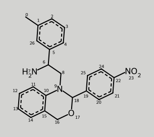 Cc1cccc(C(N)CN2c3ccccc3COC2c2ccc([N+](=O)[O-])cc2)c1